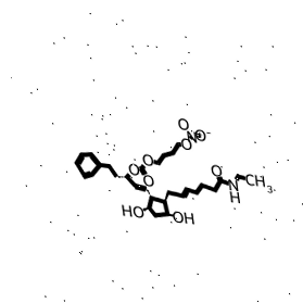 CCNC(=O)CCC/C=C/C[C@@H]1[C@@H](/C=C/[C@H](CCc2ccccc2)OC(=O)OCCCCO[N+](=O)[O-])[C@H](O)C[C@@H]1O